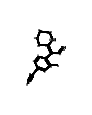 Cc1cc(C#N)ccc1/C(C=N)=C1\COCCN1